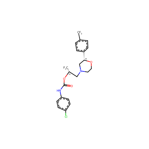 O=C(Nc1ccc(Cl)cc1)O[C@@H](CN1CCO[C@@H](c2ccc(C(F)(F)F)cc2)C1)C(F)(F)F